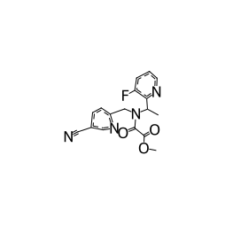 COC(=O)C(=O)N(Cc1ccc(C#N)cn1)C(C)c1ncccc1F